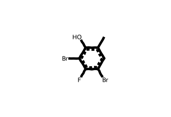 Cc1cc(Br)c(F)c(Br)c1O